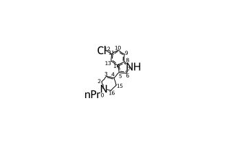 CCCN1CC=C(c2c[nH]c3ccc(Cl)cc23)CC1